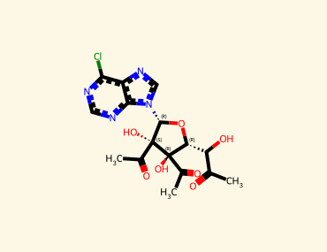 CC(=O)C(O)[C@H]1O[C@@H](n2cnc3c(Cl)ncnc32)[C@](O)(C(C)=O)[C@@]1(O)C(C)=O